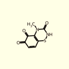 Cn1c(=O)[nH]sc2ccc(=O)c(=O)c1=2